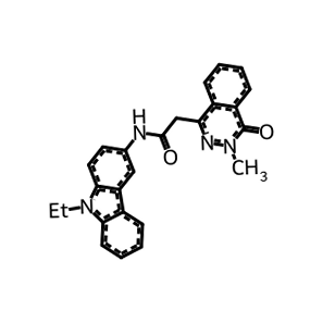 CCn1c2ccccc2c2cc(NC(=O)Cc3nn(C)c(=O)c4ccccc34)ccc21